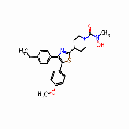 CCc1ccc(-c2nc(C3CCN(C(=O)N(C)O)CC3)sc2-c2ccc(OC)cc2)cc1